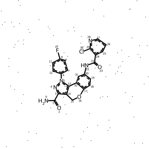 NC(=O)c1nn(-c2ccc(F)cc2)c2c1COc1ccc(NC(=O)c3cccnc3Cl)cc1-2